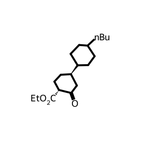 CCCCC1CCC([C@@H]2CC[C@@H](C(=O)OCC)C(=O)C2)CC1